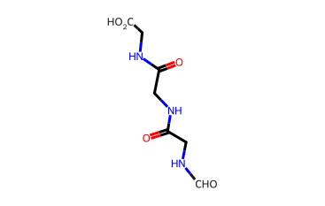 O=CNCC(=O)NCC(=O)NCC(=O)O